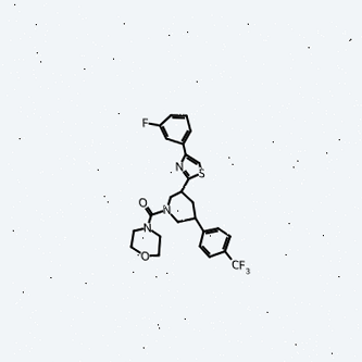 O=C(N1CCOCC1)N1CC(c2ccc(C(F)(F)F)cc2)CC(c2nc(-c3cccc(F)c3)cs2)C1